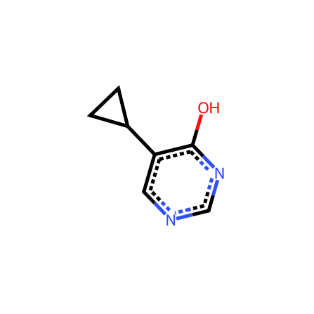 Oc1ncncc1C1CC1